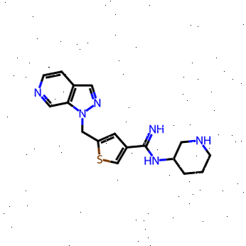 N=C(NC1CCCNC1)c1csc(Cn2ncc3ccncc32)c1